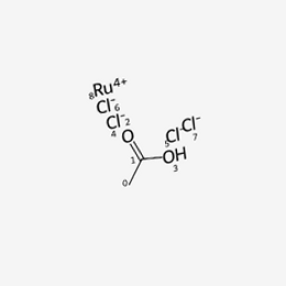 CC(=O)O.[Cl-].[Cl-].[Cl-].[Cl-].[Ru+4]